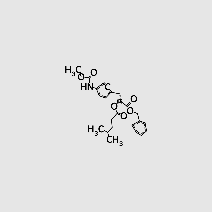 COC(=O)Nc1ccc(C[C@@H](OC(=O)CCC(C)C)C(=O)OCc2ccccc2)cc1